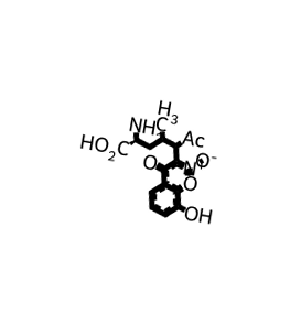 CC(=O)C(c1c(=O)c2cccc(O)c2o[n+]1[O-])C(C)C[C@H](N)C(=O)O